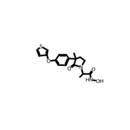 CC(C(=O)NO)N1CCC(C)(c2ccc(Oc3ccsc3)cc2)C1=O